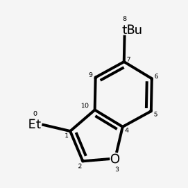 CCc1coc2ccc(C(C)(C)C)cc12